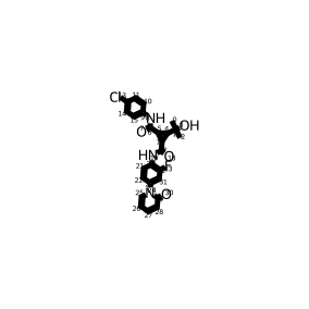 CC(C)(O)C1C(C(=O)Nc2ccc(Cl)cc2)C1C(=O)Nc1ccc(-n2ccccc2=O)cc1F